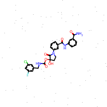 NC(=O)c1cccc(NC(=O)c2cccc(N3CCC(O)(OC(=O)NCc4cc(F)cc(Cl)c4)C3=O)c2)c1